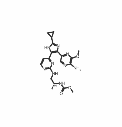 COC(=O)N[C@@H](C)CNc1nccc(-c2[nH]c(C3CC3)nc2-c2cnc(N)c(OC)n2)n1